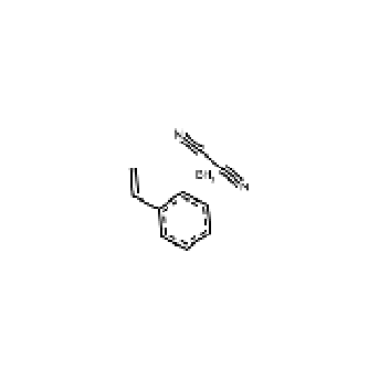 B.C=Cc1ccccc1.N#CC#N